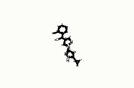 Cc1ccccc1C(=O)c1cnn(-c2cc(C3CC3)[nH]n2)c1